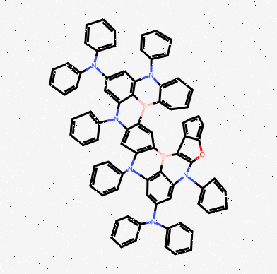 c1ccc(N(c2ccccc2)c2cc3c4c(c2)N(c2ccccc2)c2cc5c(cc2B4c2ccccc2N3c2ccccc2)B2c3c(cc(N(c4ccccc4)c4ccccc4)cc3N(c3ccccc3)c3oc4ccccc4c32)N5c2ccccc2)cc1